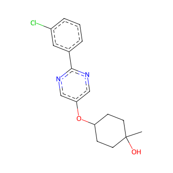 CC1(O)CCC(Oc2cnc(-c3cccc(Cl)c3)nc2)CC1